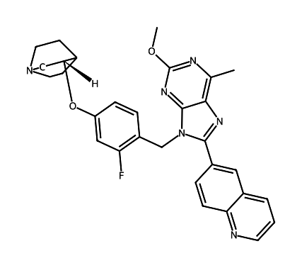 COc1nc(C)c2nc(-c3ccc4ncccc4c3)n(Cc3ccc(O[C@@H]4CN5CCC4CC5)cc3F)c2n1